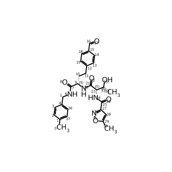 Cc1ccc(CNC(=O)[C@H](CCc2ccc(C=O)cc2)NC(=O)[C@@H](NC(=O)c2cc(C)on2)[C@@H](C)O)cc1